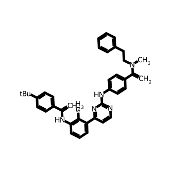 C=C(Nc1cccc(-c2ccnc(Nc3ccc(C(=C)N(C)CCc4ccccc4)cc3)n2)c1C)c1ccc(C(C)(C)C)cc1